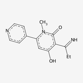 CCC(=N)c1c(O)cc(-c2ccncc2)n(C)c1=O